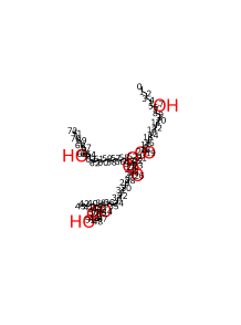 CCCCCCC(O)C/C=C\CCCCCCCC(=O)OCC(COC(=O)CCCCCCC/C=C\CC(CCCCCC)OC(=O)/C=C\C(=O)O)OC(=O)CCCCCCC/C=C\CC(O)CCCCCC